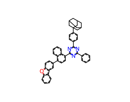 c1ccc(-c2nc(-c3ccc(C45CC6CC(CC(C6)C4)C5)cc3)nc(-c3ccc(-c4ccc5oc6ccccc6c5c4)c4ccccc34)n2)cc1